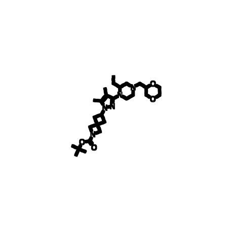 CCC1CN(CC2COCCO2)CCN1c1nn(C2CC3(C2)CN(C(=O)OC(C)(C)C)C3)c(C)c1C